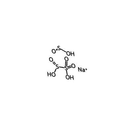 O=S(O)S(=O)(=O)O.[Na+].[O-]SO